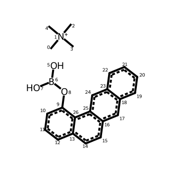 C[N+](C)(C)C.OB(O)Oc1cccc2ccc3cc4ccccc4cc3c12